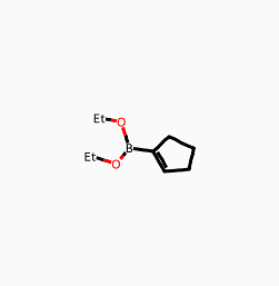 CCOB(OCC)C1=CCCC1